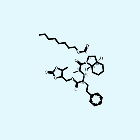 CCCCCCCCOC(=O)[C@@H]1C[C@H]2CCCC[C@@H]2N1C(=O)[C@H](C)N[C@@H](CCc1ccccc1)C(=O)OCC1OC(=O)OC1C